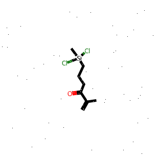 C=C(C)C(=O)CCC[Si](C)(Cl)Cl